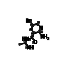 CC(=N)NC(=O)c1cc(Br)cnc1N